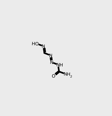 NC(=O)NN=NC=NO